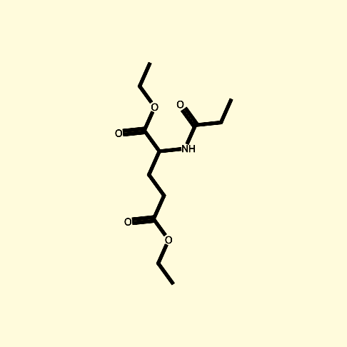 CCOC(=O)CCC(NC(=O)CC)C(=O)OCC